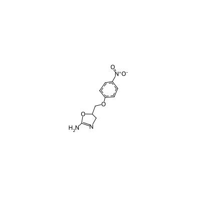 NC1=NCC(COc2ccc([N+](=O)[O-])cc2)O1